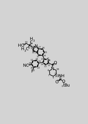 CC(C)(C)OC(=O)N[C@@H]1CCCN(C(=O)c2cc(-c3ccc(C#N)c(F)c3)c(-c3ccc4nn(C(C)(C)CO)cc4c3)s2)C1